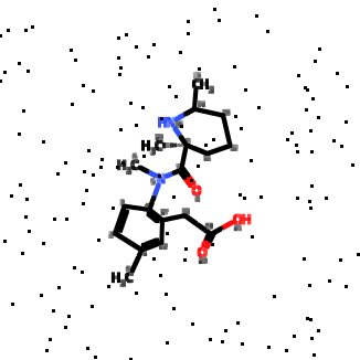 Cc1ccc(N(C)C(=O)[C@]2(C)CCCC(C)N2)c(CC(=O)O)c1